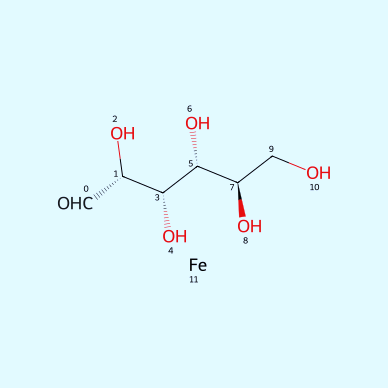 O=C[C@H](O)[C@@H](O)[C@H](O)[C@H](O)CO.[Fe]